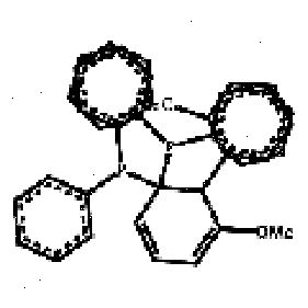 COC1=CC=CC(P(c2ccccc2)c2ccccc2)(P(c2ccccc2)c2ccccc2)C1c1ccccc1OC